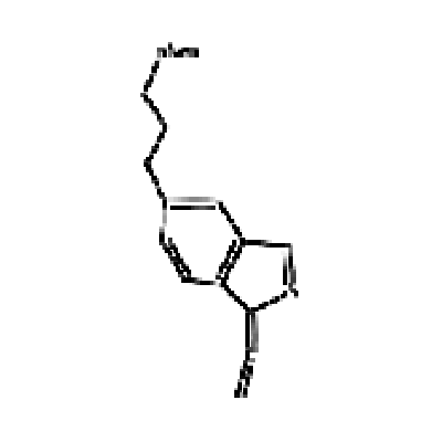 C=C=C1N=Cc2cc(CCCCCCCCCCCC)ccc21